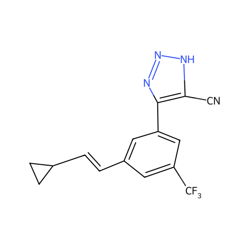 N#Cc1[nH]nnc1-c1cc(/C=C/C2CC2)cc(C(F)(F)F)c1